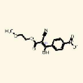 COCCOC(=O)/C(C#N)=C(\O)c1ccc([N+](=O)[O-])cc1